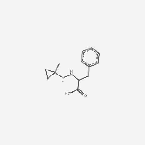 CC1(NNC(Cc2ccccc2)C(=O)O)CC1